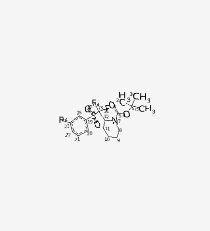 CC(C)(C)OC(=O)N1CCCCC1C(F)(F)S(=O)(=O)c1cccc(F)c1